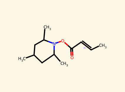 C/C=C/C(=O)ON1C(C)CC(C)CC1C